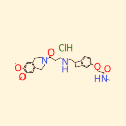 CNC(=O)COc1ccc2c(c1)CC2CNCCC(=O)N1CCc2cc(OC)c(OC)cc2CC1.Cl